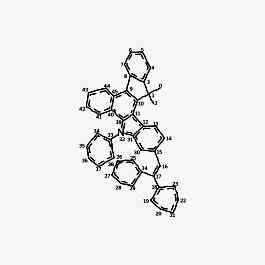 CC1(C)c2ccccc2-c2c1c1c3ccc(C=C(c4ccccc4)c4ccccc4)cc3n(-c3ccccc3)c1c1ccccc21